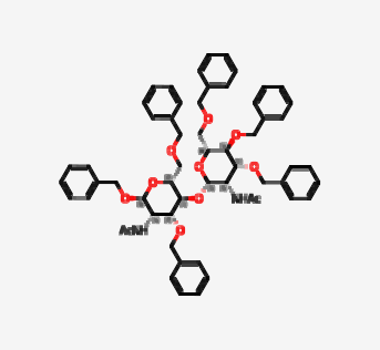 CC(=O)N[C@@H]1[C@H](O[C@H]2[C@H](OCc3ccccc3)[C@H](NC(C)=O)[C@@H](OCc3ccccc3)O[C@@H]2COCc2ccccc2)O[C@H](COCc2ccccc2)[C@@H](OCc2ccccc2)[C@@H]1OCc1ccccc1